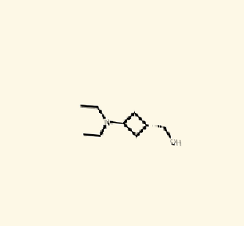 CCN(CC)[C@H]1C[C@H](CO)C1